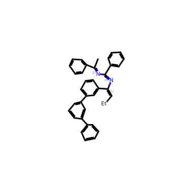 CC/C=C(/N=C(\N=C(/C)c1ccccc1)c1ccccc1)c1cccc(-c2cccc(-c3ccccc3)c2)c1